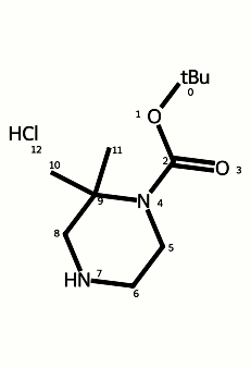 CC(C)(C)OC(=O)N1CCNCC1(C)C.Cl